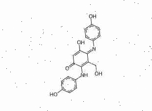 O=C1C=C(O)C(=Nc2ccc(O)cc2)C(CO)=C1Nc1ccc(O)cc1